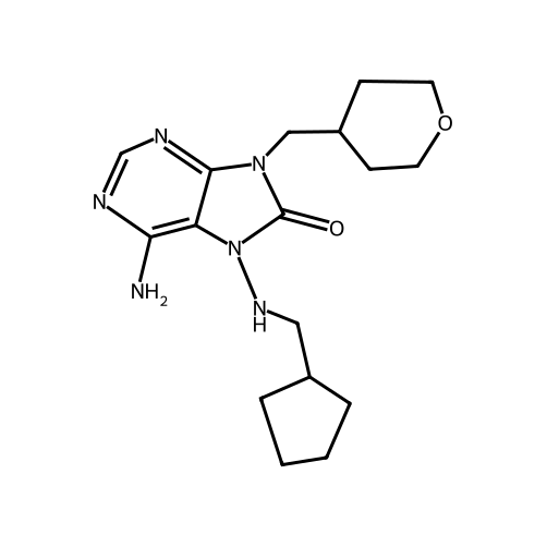 Nc1ncnc2c1n(NCC1CCCC1)c(=O)n2CC1CCOCC1